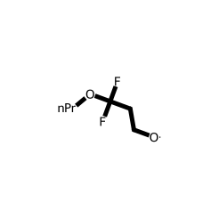 CCCOC(F)(F)CC[O]